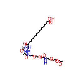 CC(=O)COCCOCCNC(=O)COCCOCCNC(=O)C(C)NC(=O)[C@H](C)NC(=O)CCCCCCCCCCCCCCCCC(=O)O